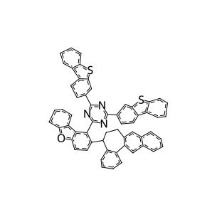 c1ccc2c(c1)-c1cc3ccccc3cc1CCC2c1ccc2oc3ccccc3c2c1-c1nc(-c2ccc3c(c2)sc2ccccc23)nc(-c2ccc3c(c2)sc2ccccc23)n1